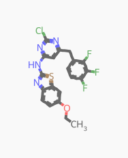 CCOc1ccc2nc(Nc3cc(Cc4ccc(F)c(F)c4F)nc(Cl)n3)sc2c1